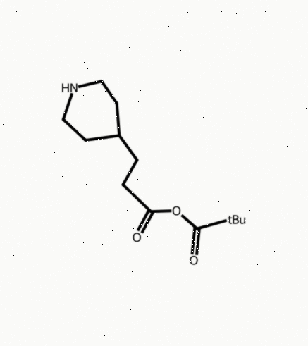 CC(C)(C)C(=O)OC(=O)CCC1CCNCC1